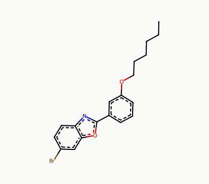 CCCCCCOc1cccc(-c2nc3ccc(Br)cc3o2)c1